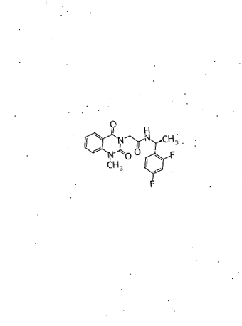 C[C@H](NC(=O)Cn1c(=O)c2ccccc2n(C)c1=O)c1ccc(F)cc1F